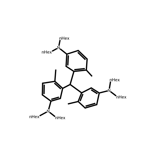 CCCCCCN(CCCCCC)c1ccc(C)c(C(c2cc(N(CCCCCC)CCCCCC)ccc2C)c2cc(N(CCCCCC)CCCCCC)ccc2C)c1